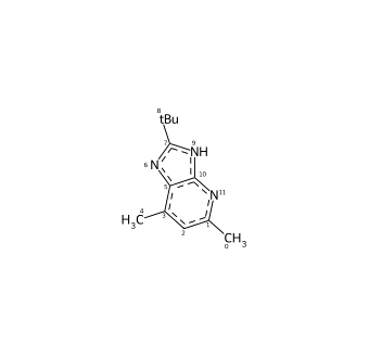 Cc1cc(C)c2nc(C(C)(C)C)[nH]c2n1